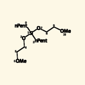 CCCCC[Si](CCCCC)(OCCOC)OCCOC